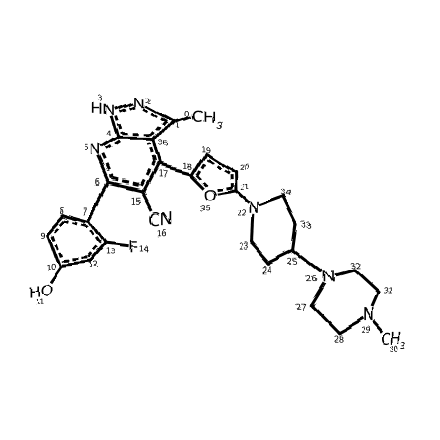 Cc1n[nH]c2nc(-c3ccc(O)cc3F)c(C#N)c(-c3ccc(N4CCC(N5CCN(C)CC5)CC4)o3)c12